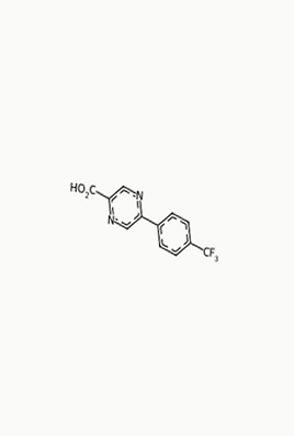 O=C(O)c1cnc(-c2ccc(C(F)(F)F)cc2)cn1